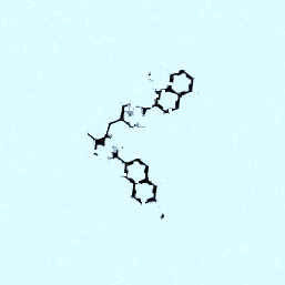 COc1ccc2cc(C34OCC(C)(CO3)C(CC35COC(c6ccc7ccccc7c6OC)(OC3)OC5)O4)ccc2c1